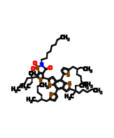 C=CCCC(C)(CC)c1sc(-c2cc3c(-c4ccc(CC(CC)CCCC)s4)c4sc(C(C)(CC)CCCCC)cc4c(-c4ccc(CC(CC)CCCC)s4)c3s2)c2c1S(=O)(=O)N(CCCCCCCC)C2=O